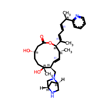 C/C(=C\C=C\[C@@H](C)c1ccccn1)[C@@H]1OC(=O)C[C@@H](O)CC[C@@](C)(O)[C@H](CN2C[C@@H]3C[C@@H]2CN3)/C=C/[C@H]1C